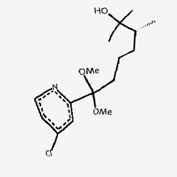 COC(CCC[C@@H](C)C(C)(C)O)(OC)c1cc(Cl)ccn1